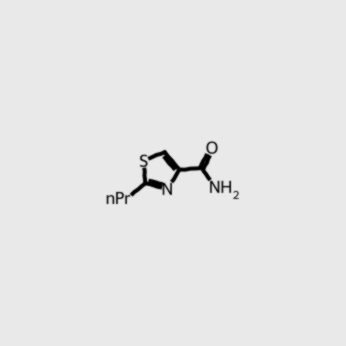 C[CH]Cc1nc(C(N)=O)cs1